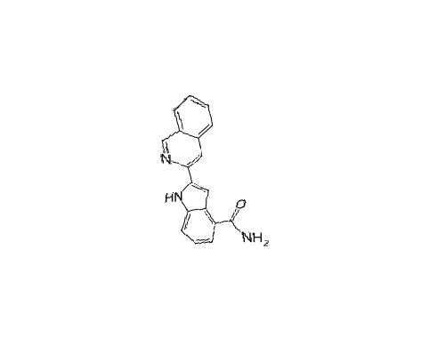 NC(=O)c1cccc2[nH]c(-c3cc4ccccc4cn3)cc12